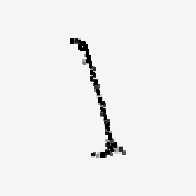 CC(=O)Nc1nc(C)c(S(=O)(=O)NCCOCCOCCOCCOCCOCCOCCOCCOCCC(=O)CCCc2ccc(O)cc2)s1